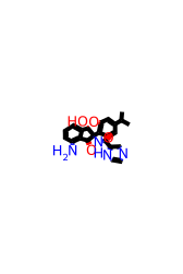 CC(C)c1ccc2c(c1)OC1(O)c3cccc(N)c3C(=O)C21NC(=O)c1cnccn1